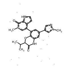 CC(C)C1Oc2c(cc(-c3cnn(C)c3)cc2-c2cn(C)c(=O)c3[nH]ccc23)NC1=O